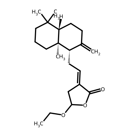 C=C1CC[C@H]2C(C)(C)CCC[C@]2(C)[C@H]1C/C=C1\CC(OCC)OC1=O